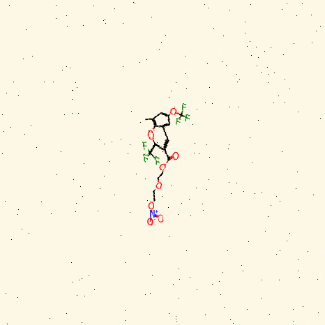 Cc1cc(OC(F)(F)F)cc2c1OC(C(F)(F)F)C(C(=O)OCCOCCO[N+](=O)[O-])=C2